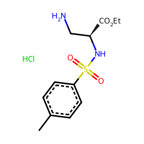 CCOC(=O)[C@H](CN)NS(=O)(=O)c1ccc(C)cc1.Cl